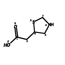 O=C(O)CC1CNCS1